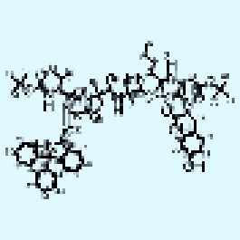 CC[C@H](C)[C@H](NC(=O)C(C)(C)NC(=O)C(C)(C)NC(=O)[C@H](CCC(=O)NC(c1ccccc1)(c1ccccc1)c1ccccc1)NC(=O)[C@@H](NC(=O)OC(C)(C)C)C(C)C)C(=O)N[C@@H](CC(=O)OC(C)(C)C)C(=O)N[C@@H](Cc1ccc(O)cc1)C(=O)O